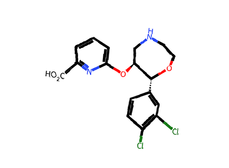 O=C(O)c1cccc(O[C@H]2CNCCO[C@@H]2c2ccc(Cl)c(Cl)c2)n1